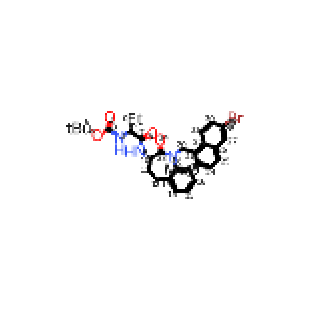 CCC(NC(=O)OC(C)(C)C)C(=O)N[C@H]1CCc2ccccc2N(Cc2c(OC)ccc3cc(Br)ccc23)C1=O